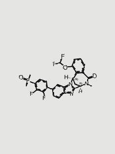 CN1C(=O)c2cccc(OC(F)F)c2[C@H]2C[C@@H]1c1nc3ccc(-c4ccc(P(C)(C)=O)c(F)c4F)cc3n12